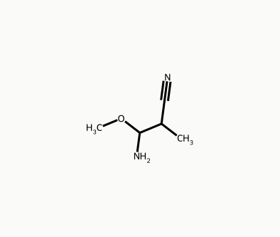 COC(N)C(C)C#N